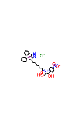 Cn1cc([P+](CCCCCCCCC(=O)NC(CO)C(O)c2ccc([N+](=O)[O-])cc2)(c2ccccc2)c2ccccc2)cn1.[Cl-]